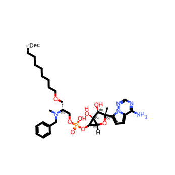 CCCCCCCCCCCCCCCCCCOC[C@H](COP(=O)(O)OC1[C@H]2O[C@@](C)(c3ccc4c(N)ncnn34)[C@H](O)[C@@]12O)N(C)Cc1ccccc1